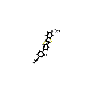 CC#Cc1ccc(-c2ccc3c(c2)sc2c4ccc(CCCCCCCC)cc4sc32)cc1